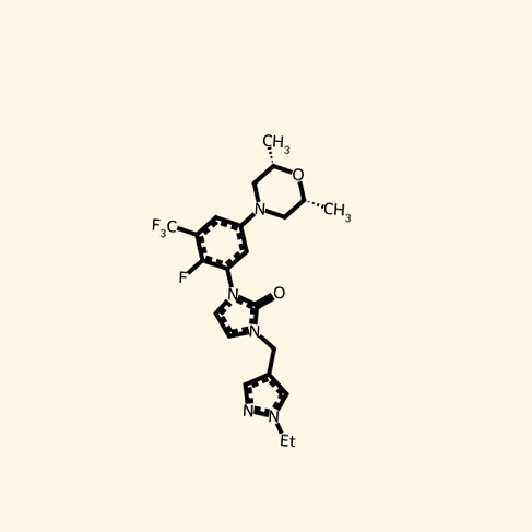 CCn1cc(Cn2ccn(-c3cc(N4C[C@@H](C)O[C@@H](C)C4)cc(C(F)(F)F)c3F)c2=O)cn1